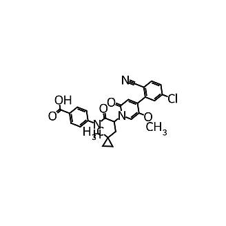 COc1cn(C(CC2(C)CC2)C(=O)Nc2ccc(C(=O)O)cc2)c(=O)cc1-c1cc(Cl)ccc1C#N